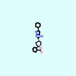 O=C1O[C@]2(CC[C@H](c3nn4nc(-c5ccccc5)cc4[nH]3)CC2)c2ccccc21